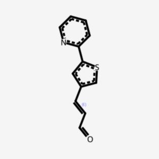 O=C/C=C/c1csc(-c2ccccn2)c1